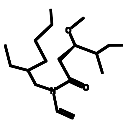 C=CN(CC(CC)CCCC)C(=O)C[C@@H](OC)C(C)CC